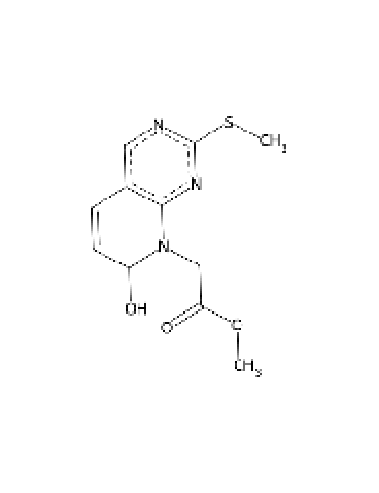 COC(=O)CN1c2nc(SC)ncc2C=CC1O